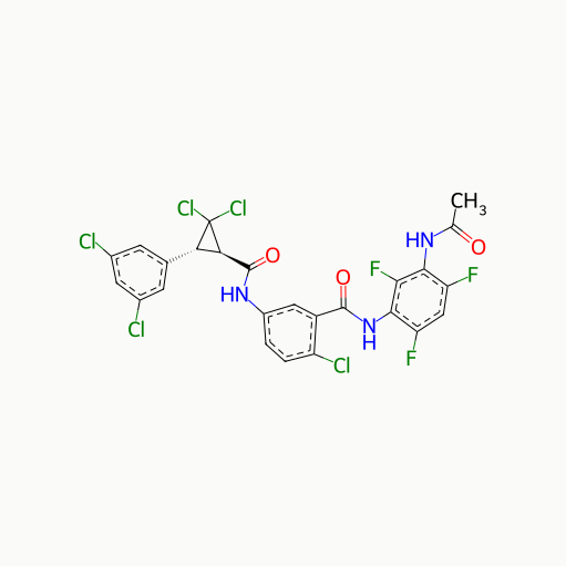 CC(=O)Nc1c(F)cc(F)c(NC(=O)c2cc(NC(=O)[C@H]3[C@H](c4cc(Cl)cc(Cl)c4)C3(Cl)Cl)ccc2Cl)c1F